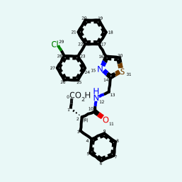 O=C(O)C[C@@H](Cc1ccccc1)C(=O)NCc1nc(-c2ccccc2-c2ccccc2Cl)cs1